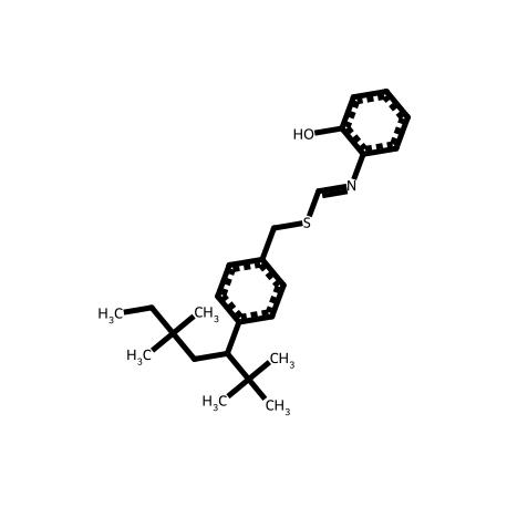 CCC(C)(C)CC(c1ccc(CS/C=N/c2ccccc2O)cc1)C(C)(C)C